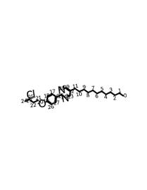 CCCCCCCCCCCCc1cnc(-c2ccc(OCCC(C)Cl)cc2)nc1